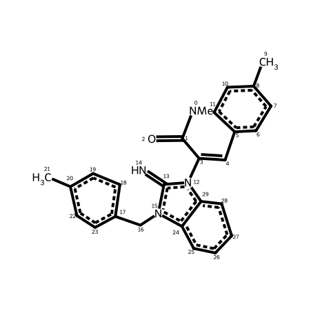 CNC(=O)C(=Cc1ccc(C)cc1)n1c(=N)n(Cc2ccc(C)cc2)c2ccccc21